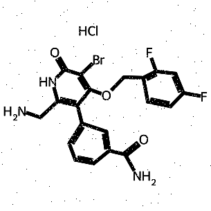 Cl.NCc1[nH]c(=O)c(Br)c(OCc2ccc(F)cc2F)c1-c1cccc(C(N)=O)c1